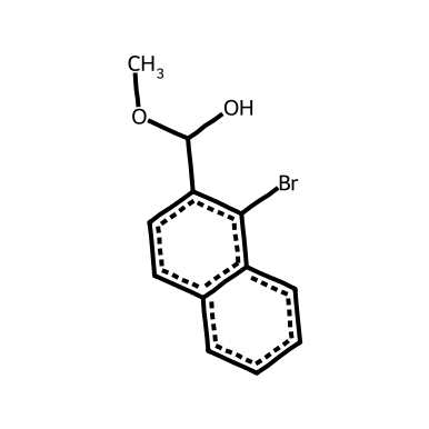 COC(O)c1ccc2ccccc2c1Br